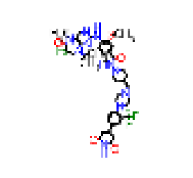 COc1cc(C(=O)NN2CCC(CN3CCN(c4ccc(C5CC(=O)NC(=O)C5)cc4C(F)(F)F)CC3)CC2)ccc1Nc1ncc2c(n1)N(C(C)C)CC(F)(F)C(=O)N2C